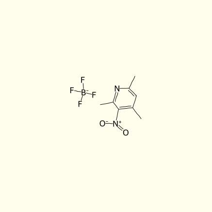 Cc1cc(C)c([N+](=O)[O-])c(C)n1.F[B-](F)(F)F